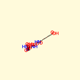 CC(=O)N(CC(=O)N[C@H](CO)C(=O)O)OCCOCCNC(=O)COCCOCCNC(=O)CCCCCCCCCCCCCCCCC(=O)O